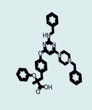 CC(Cc1ccc(Oc2cc(N3CCN(Cc4ccccc4)CC3)nc(NCc3ccccc3)n2)cc1)(Oc1ccccc1)C(=O)O